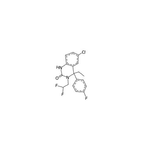 CCC1(c2ccc(F)cc2)c2cc(Cl)ccc2NC(=O)N1CC(F)F